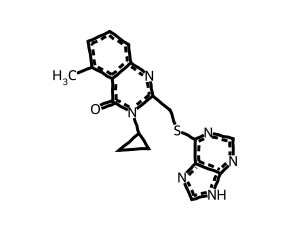 Cc1cccc2nc(CSc3ncnc4[nH]cnc34)n(C3CC3)c(=O)c12